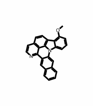 COc1cccc2c1c1ccc3ccnc4c5cc6ccccc6cc5n2c1c34